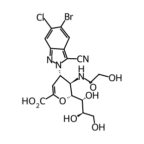 N#Cc1c2cc(Br)c(Cl)cc2nn1[C@H]1C=C(C(=O)O)O[C@@H]([C@H](O)[C@H](O)CO)[C@@H]1NC(=O)CO